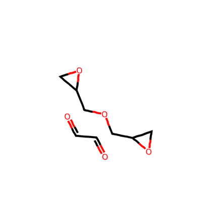 C(OCC1CO1)C1CO1.O=CC=O